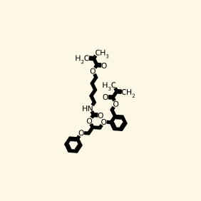 C=C(C)C(=O)OCCCCCNC(=O)OC(COc1ccccc1)COc1ccccc1COC(=O)C(=C)C